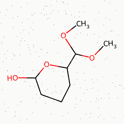 COC(OC)C1CCCC(O)O1